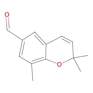 Cc1cc(C=O)cc2c1OC(C)(C)C=C2